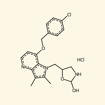 Cc1c(C)n(CC2CNC(O)O2)c2c(OCc3ccc(Cl)cc3)ccnc12.Cl